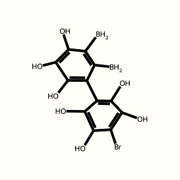 Bc1c(B)c(-c2c(O)c(O)c(Br)c(O)c2O)c(O)c(O)c1O